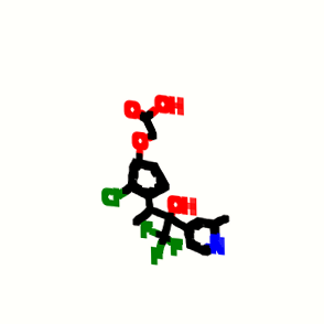 Cc1cc(C(O)(C(C)c2ccc(OCC(=O)O)cc2Cl)C(F)(F)F)ccn1